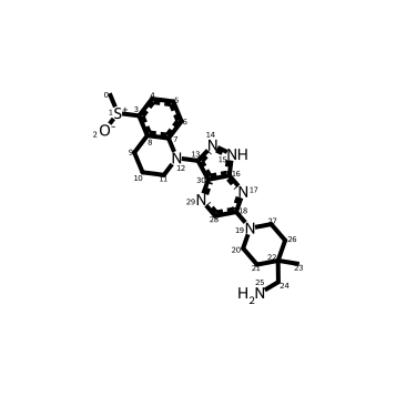 C[S+]([O-])c1cccc2c1CCCN2c1n[nH]c2nc(N3CCC(C)(CN)CC3)cnc12